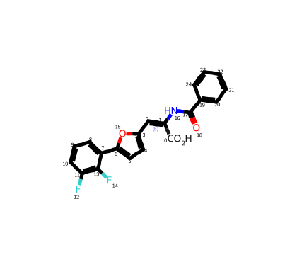 O=C(O)/C(=C\c1ccc(-c2cccc(F)c2F)o1)NC(=O)c1ccccc1